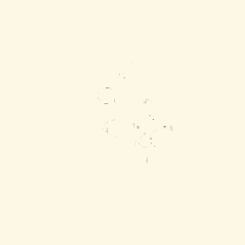 CCCCOc1nc(N)c2nc(O)n(Cc3ccc(Oc4ccc(CNCCC)cc4)nc3)c2n1